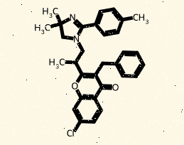 Cc1ccc(C2=NC(C)(C)CN2CC(C)c2oc3cc(Cl)ccc3c(=O)c2Cc2ccccc2)cc1